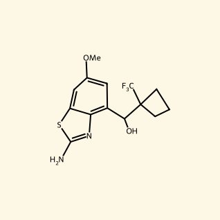 COc1cc(C(O)C2(C(F)(F)F)CCC2)c2nc(N)sc2c1